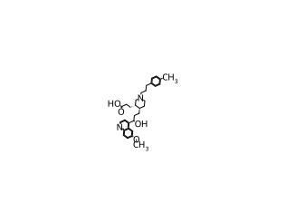 COc1ccc2nccc([C@H](O)CC[C@@H]3CCN(CCCc4ccc(C)cc4)C[C@H]3CCC(=O)O)c2c1